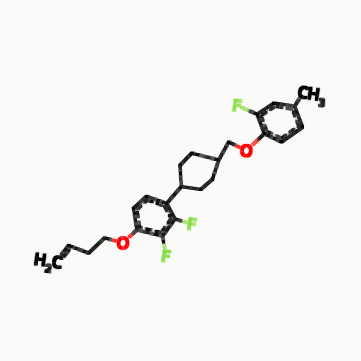 C=CCCOc1ccc(C2CCC(COc3ccc(C)cc3F)CC2)c(F)c1F